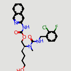 CN(C(=O)NCc1cccc(F)c1Cl)[C@@H](CCCCO)COC(=O)Nc1cc2ccccc2cn1